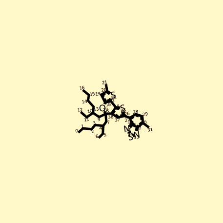 CCCCC(CC)CC1(CC(CC)CCCC)Oc2cc(C)sc2-c2sc(-c3ccc(C)c4nsnc34)cc21